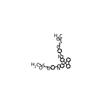 C=CC(=O)SCCOc1ccc(C2=Nc3ccc(C4(c5ccc6c(c5)CC(c5ccc(OCCSC(=O)C=C)cc5)=N6)c5ccccc5-c5ccccc54)cc3C2)cc1